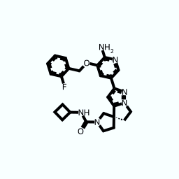 Nc1ncc(-c2cc3n(n2)CC[C@@]32CCN(C(=O)NC3CCC3)C2)cc1OCc1ccccc1F